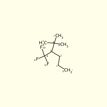 [CH2]CCC(C(C)(C)C)C(F)(F)F